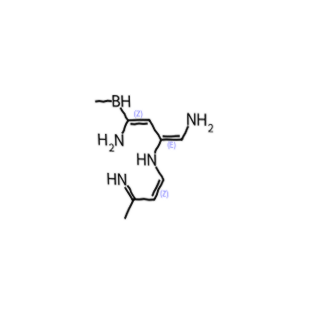 CB/C(N)=C/C(=C\N)N/C=C\C(C)=N